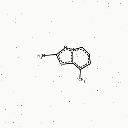 Nc1nc2c(C(F)(F)F)cccn2n1